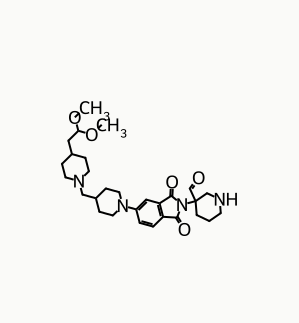 COC(CC1CCN(CC2CCN(c3ccc4c(c3)C(=O)N(C3(C=O)CCCNC3)C4=O)CC2)CC1)OC